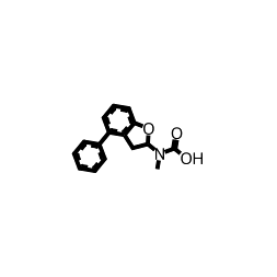 CN(C(=O)O)C1Cc2c(cccc2-c2ccccc2)O1